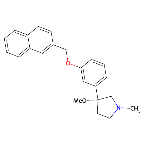 COC1(c2cccc(OCc3ccc4ccccc4c3)c2)CCN(C)C1